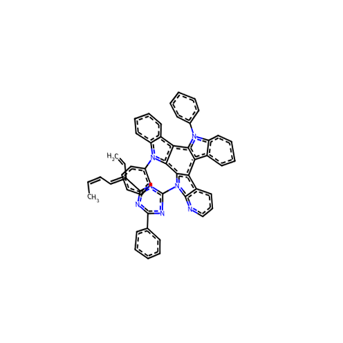 C=C/C(=C\C=C/C)c1nc(-c2ccccc2)nc(-n2c3ncccc3c3c4c5ccccc5n(-c5ccccc5)c4c4c5ccccc5n(-c5ccccc5)c4c32)n1